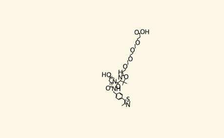 Cc1ncsc1-c1ccc(CNC(=O)[C@@H]2C[C@@H](O)CN2C(=O)C(NC(=O)CCOCCOCCOCCOCCC(=O)O)C(C)(C)C)cc1